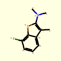 Cc1c(N(C)C)sc2c(F)cccc12